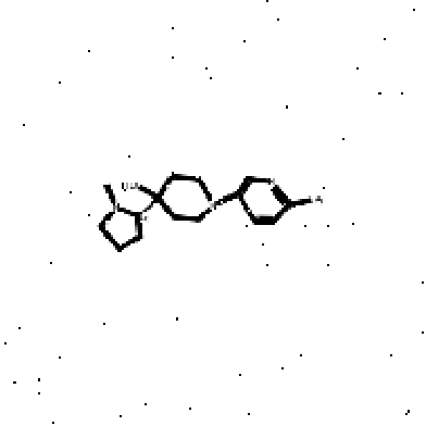 CC(C)c1ccc(N2CCC(O)([C@H]3CCCN3C)CC2)cn1